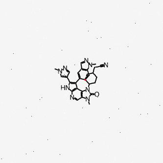 Cn1cc(-c2[nH]c3ncc4c(c3c2-c2ccc3c(cnn3C)c2)n(C2CCC(CC#N)CC2)c(=O)n4C)cn1